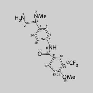 CN/C(=C\N)c1ccc(NC(=O)c2ccc(OC)c(C(F)(F)F)c2)cc1